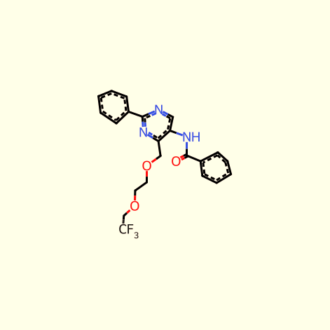 O=C(Nc1cnc(-c2ccccc2)nc1COCCOCC(F)(F)F)c1ccccc1